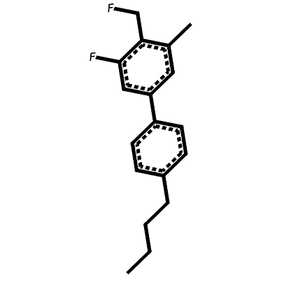 CCCCc1ccc(-c2cc(C)c(CF)c(F)c2)cc1